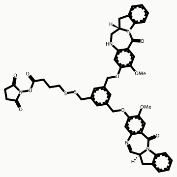 COc1cc2c(cc1OCc1cc(COc3cc4c(cc3OC)C(=O)N3c5ccccc5C[C@H]3CN4)cc(CSSCCCC(=O)ON3C(=O)CCC3=O)c1)N=C[C@@H]1Cc3ccccc3N1C2=O